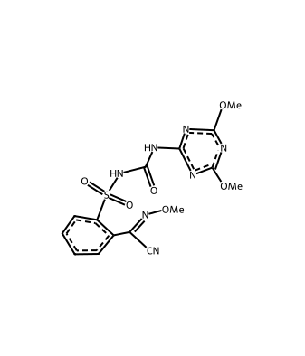 CON=C(C#N)c1ccccc1S(=O)(=O)NC(=O)Nc1nc(OC)nc(OC)n1